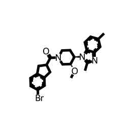 CO[C@@H]1CN(C(=O)C2Cc3ccc(Br)cc3C2)CC[C@H]1n1c(C)nc2cc(C)ccc21